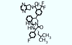 CC(C)CC[C@]1(c2ccc(F)cc2)NC(=N)N(C[C@@H](c2ccccc2)c2ccc(C(F)(F)F)c(C(=O)N3Cc4nccnc4C3)c2)C1=O